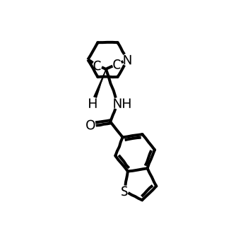 O=C(N[C@@H]1CC2CCN(CC2)C1)c1ccc2ccsc2c1